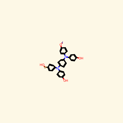 OSc1ccc(N(c2ccc(O)cc2)c2ccc(N(c3ccc(O)cc3)c3ccc(OI)cc3)cc2)cc1